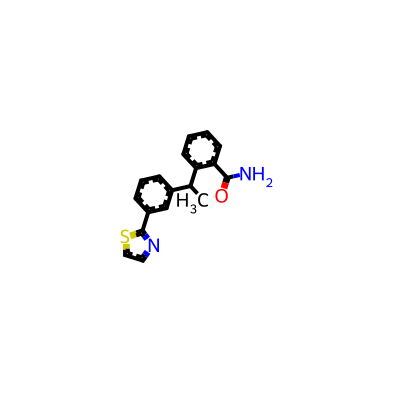 CC(c1cccc(-c2nccs2)c1)c1ccccc1C(N)=O